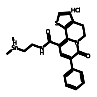 Cl.[CH3][SnH]([CH3])[CH2]CNC(=O)c1cc(-c2ccccc2)c(=O)n2c1-c1sccc1CC2